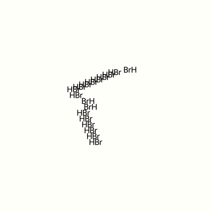 Br.Br.Br.Br.Br.Br.Br.Br.Br.Br.Br.Br.Br.Br.Br.Br.Br.Br